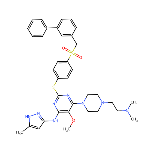 COc1c(Nc2cc(C)[nH]n2)nc(Sc2ccc(S(=O)(=O)Cc3cccc(-c4ccccc4)c3)cc2)nc1N1CCN(CCN(C)C)CC1